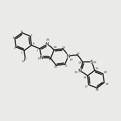 Fc1ccccc1-c1nc2ccn(Cc3nc4ccccc4s3)cc-2n1